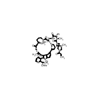 C=CC(=O)N1CN(C)C2(C1)CN(C(=O)N(C)[C@H](C(=O)N[SiH2][C@H]1CN3CCC=C(C3)c3ccc4c(c3)c(c(-c3cccnc3[C@H](C)OC)n4CC)CC(C)(C)COC(=O)[C@@H]3CCCN(N[SiH2]3)C1=O)C(C)C)C2